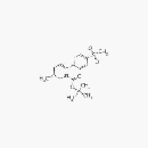 CC1CC=C(c2ccc(S(C)(=O)=O)cc2)N(C(=O)OC(C)(C)C)C1